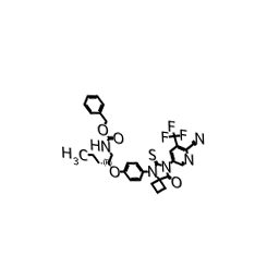 CCC[C@H](CNC(=O)OCc1ccccc1)Oc1ccc(N2C(=S)N(c3cnc(C#N)c(C(F)(F)F)c3)C(=O)C23CCC3)cc1